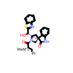 CN[C@@H](CC(C)C)C(=O)N1C[C@]2(C[C@H]1C(O)c1nc3ccccc3s1)C(=O)Nc1ccccc12